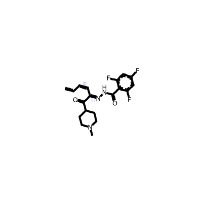 C=C/C=C\C(=N/NC(=O)c1c(F)cc(F)cc1F)C(=O)C1CCN(C)CC1